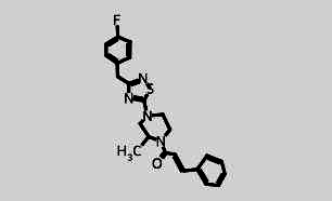 CC1CN(c2nc(Cc3ccc(F)cc3)ns2)CCN1C(=O)C=Cc1ccccc1